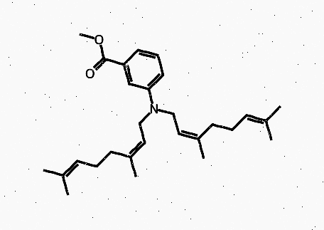 COC(=O)c1cccc(N(CC=C(C)CCC=C(C)C)CC=C(C)CCC=C(C)C)c1